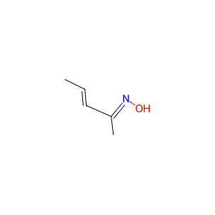 CC=CC(C)=NO